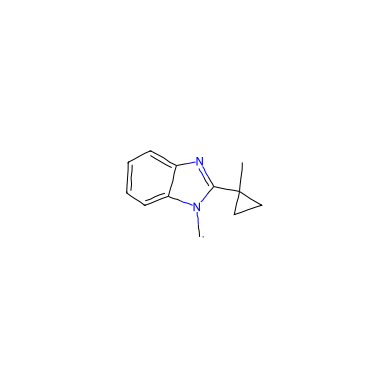 [CH2]n1c(C2(C)CC2)nc2ccccc21